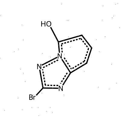 Oc1cccc2nc(Br)nn12